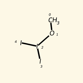 COI(I)I